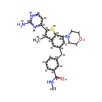 C1COCCN1.CCNC(=O)c1cccc(Cc2ccc3sc(-c4ccnc(N)n4)c(C)c3c2)c1